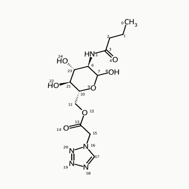 CCCC(=O)N[C@H]1C(O)O[C@H](COC(=O)Cn2cnnn2)[C@@H](O)[C@@H]1O